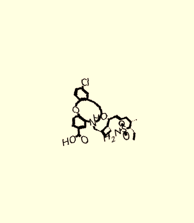 CC[C@@H]([C@@H](C)C/C=C/[C@H](O)[C@@H]1CC[C@H]1CN1CCCCc2cc(Cl)ccc2COc2ccc(C(=O)O)cc21)S(N)(=O)=O